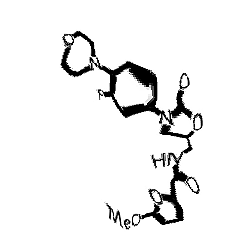 COc1ccc(C(=O)NC[C@H]2CN(c3ccc(N4CCOCC4)c(F)c3)C(=O)O2)o1